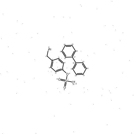 CC(C)Cc1ccc(OS(=O)(=O)C(F)(F)F)cc1.c1ccc(-c2ccccc2)cc1